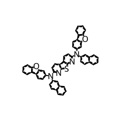 c1ccc2cc(N(c3ccc4c(c3)oc3ccccc34)c3ccc4c(n3)sc3nc(N(c5ccc6ccccc6c5)c5ccc6c(c5)oc5ccccc56)ccc34)ccc2c1